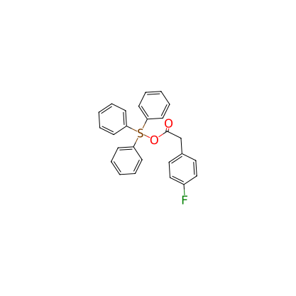 O=C(Cc1ccc(F)cc1)OS(c1ccccc1)(c1ccccc1)c1ccccc1